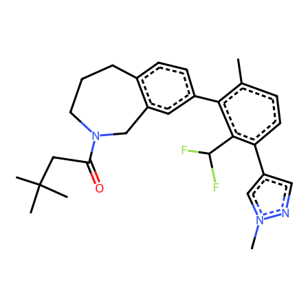 Cc1ccc(-c2cnn(C)c2)c(C(F)F)c1-c1ccc2c(c1)CN(C(=O)CC(C)(C)C)CCC2